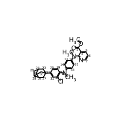 COC(=O)c1cccnc1N(C)c1ccc(N(C)c2ccc(C34CC5CC(C3)C(C5)C4)cc2Cl)cc1